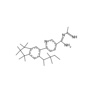 CCC(C)(C)C(C)c1cc2c(cc1-c1ccc(/C(N)=N/C(C)=N)cn1)C(C)(C)C(C)(C)C2(C)C